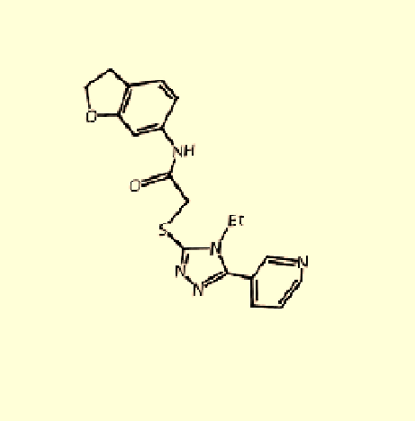 CCn1c(SCC(=O)Nc2ccc3c(c2)OCC3)nnc1-c1cccnc1